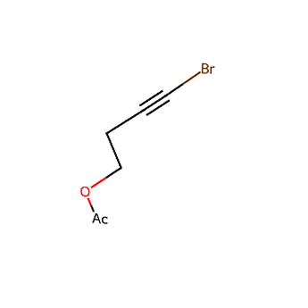 CC(=O)OCCC#CBr